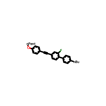 CCCCCOc1ccc(C#Cc2ccc(-c3ccc(CCCC)cc3)c(F)c2)cc1